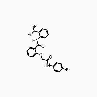 CCCC(CC)c1ccccc1NC(=O)c1ccccc1OCC(=O)Nc1ccc(Br)cc1